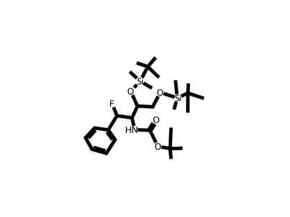 CC(C)(C)OC(=O)NC(C(CO[Si](C)(C)C(C)(C)C)O[Si](C)(C)C(C)(C)C)C(F)c1ccccc1